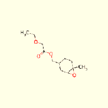 CCOCC(=O)OCC1CCC2(C)OC2C1